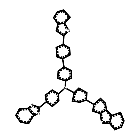 c1ccc2oc(-c3ccc(-c4ccc(N(c5ccc(-c6ccc7c(c6)oc6ccccc67)cc5)c5ccc(-c6nc7ccccc7o6)cc5)cc4)cc3)cc2c1